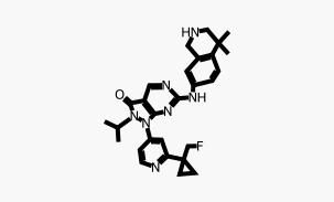 CC(C)n1c(=O)c2cnc(Nc3ccc4c(c3)CNCC4(C)C)nc2n1-c1ccnc(C2(CF)CC2)c1